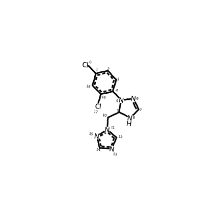 Clc1ccc(N2N=CNC2Cn2cncn2)c(Cl)c1